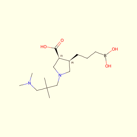 CN(C)CC(C)(C)CN1C[C@H](CCCB(O)O)[C@H](C(=O)O)C1